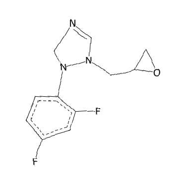 Fc1ccc(N2CN=CN2CC2CO2)c(F)c1